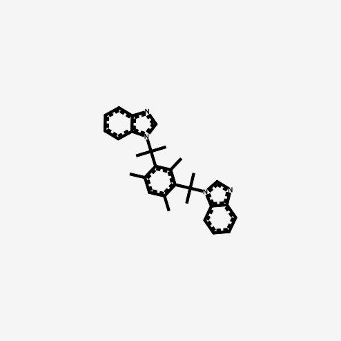 Cc1cc(C)c(C(C)(C)n2cnc3ccccc32)c(C)c1C(C)(C)n1cnc2ccccc21